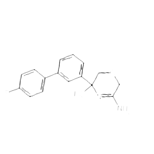 CC1(c2cccc(-c3ccc(F)cc3)c2)COCC(N)=N1